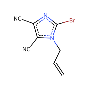 C=CCn1c(Br)nc(C#N)c1C#N